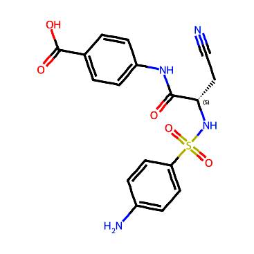 N#CC[C@H](NS(=O)(=O)c1ccc(N)cc1)C(=O)Nc1ccc(C(=O)O)cc1